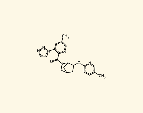 Cc1ccc(OC2CC3CC2N(C(=O)c2ncc(C)cc2-n2ccnn2)C3)nc1